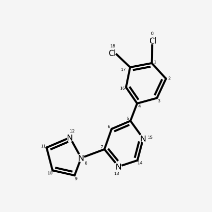 Clc1ccc(-c2cc(-n3cccn3)ncn2)cc1Cl